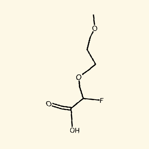 COCCOC(F)C(=O)O